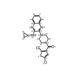 O=C(c1cc(Cl)sc1Cl)N1CCN(c2nc3ccccc3nc2NC2CC2)CC1